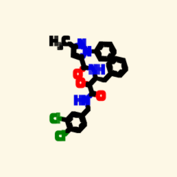 Cc1cc(C(=O)N[C@@H](Cc2ccccc2)C(=O)C(=O)NCc2ccc(Cl)c(Cl)c2)n(-c2ccccc2)n1